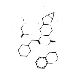 CN[C@@H](C)C(=O)N[C@H](C(=O)N1C[C@H]2C[C@H]3C[C@H]3N2C[C@H]1C(=O)N[C@@H]1CCOc2ccccc21)C1CCCCC1